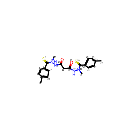 Cc1ccc(C(=S)N(C)NC(=O)CC(=O)NN(C)C(=S)c2ccc(C)cc2)cc1